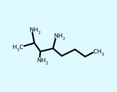 CCCCC(N)C(N)C(C)N